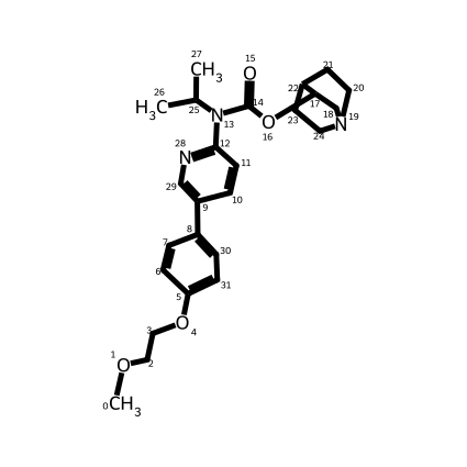 COCCOc1ccc(-c2ccc(N(C(=O)OC3CN4CCC3CC4)C(C)C)nc2)cc1